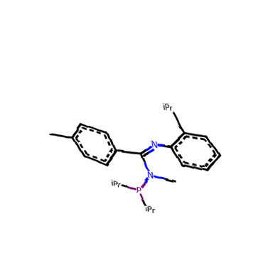 Cc1ccc(/C(=N/c2ccccc2C(C)C)N(C)P(C(C)C)C(C)C)cc1